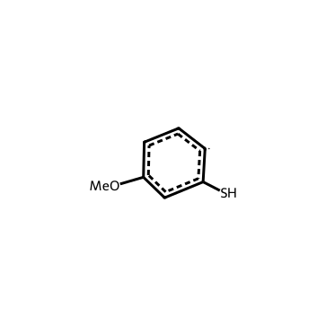 COc1cc[c]c(S)c1